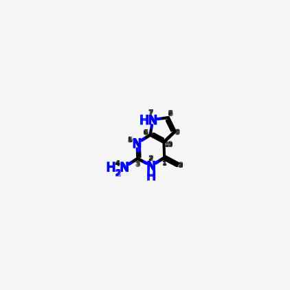 C=C1NC(N)=Nc2[nH]ccc21